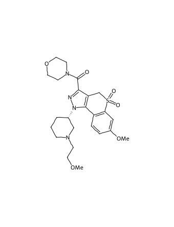 COCCN1CCC[C@H](n2nc(C(=O)N3CCOCC3)c3c2-c2ccc(OC)cc2S(=O)(=O)C3)C1